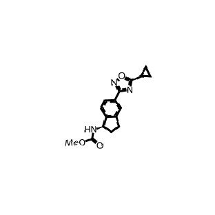 COC(=O)N[C@@H]1CCc2cc(-c3noc(C4CC4)n3)ccc21